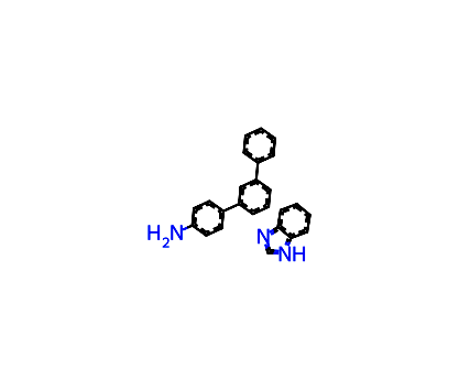 Nc1ccc(-c2cccc(-c3ccccc3)c2)cc1.c1ccc2[nH]cnc2c1